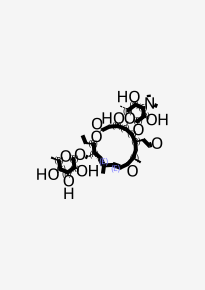 CC[C@H]1OC(=O)C[C@@H](O)[C@H](C)[C@@H](O[C@@H]2O[C@H](C)[C@@H](O)[C@H](N(C)C)[C@H]2O)[C@@H](CC=O)C[C@@H](C)C(=O)/C=C/C(C)=C/[C@@H]1CO[C@@H]1O[C@H](C)[C@@H](O)[C@@H](O)[C@H]1O